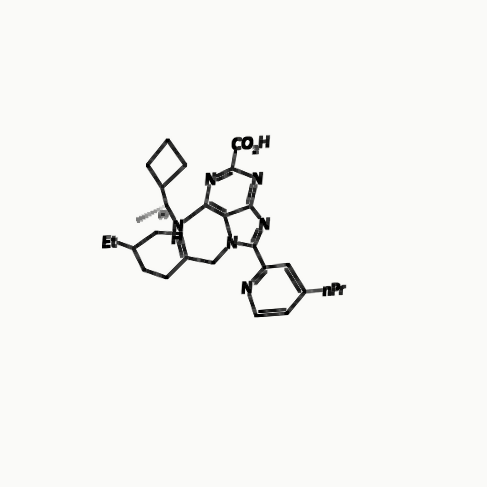 CCCc1ccnc(-c2nc3nc(C(=O)O)nc(N[C@H](C)C4CCC4)c3n2CC2=CCC(CC)CC2)c1